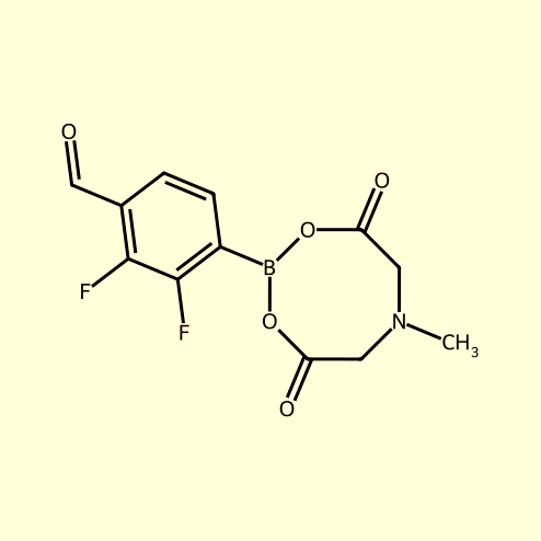 CN1CC(=O)OB(c2ccc(C=O)c(F)c2F)OC(=O)C1